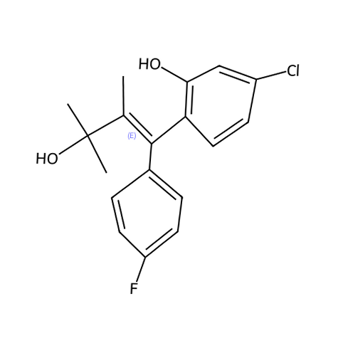 C/C(=C(/c1ccc(F)cc1)c1ccc(Cl)cc1O)C(C)(C)O